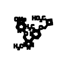 COc1cc(OCc2c(-c3ccc(OC[C@@H]4CC[C@H]4C(=O)O)c(C)n3)nnn2C)ncn1